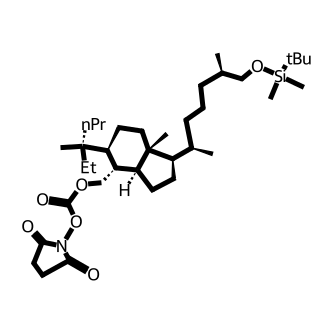 CCC[C@@](C)(CC)[C@H]1CC[C@]2(C)[C@@H]([C@H](C)CCC[C@@H](C)CO[Si](C)(C)C(C)(C)C)CC[C@H]2[C@@H]1COC(=O)ON1C(=O)CCC1=O